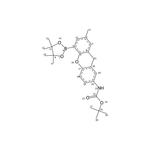 Cc1cc2c(c(B3OC(C)(C)C(C)(C)O3)c1)Oc1ccc(NC(=O)OC(C)(C)C)cc1C2